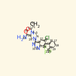 C=CC(=O)N1CCN(c2ncnc3cc(-c4ccccc4C(F)(F)F)c(Cl)cc23)CC1C(N)=O